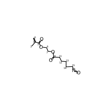 C=C(C)C(=O)OCCOC(=O)CCCCCN=O